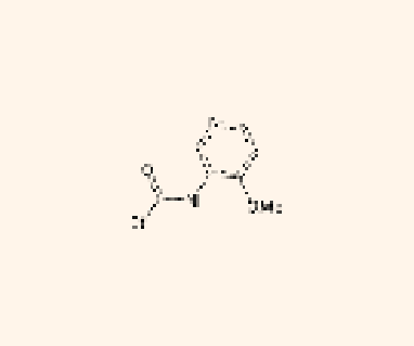 CCC(=O)Nc1cnccc1OC